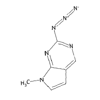 Cn1ccc2cnc(N=[N+]=[N-])nc21